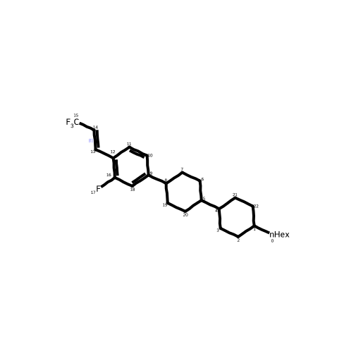 CCCCCCC1CCC(C2CCC(c3ccc(/C=C/C(F)(F)F)c(F)c3)CC2)CC1